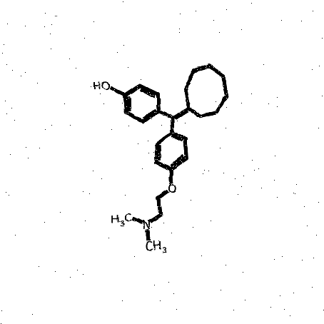 CN(C)CCOc1ccc(C(=C2CCCCCCC2)c2ccc(O)cc2)cc1